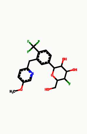 COc1ccc(Cc2cc(C3OC(CO)C(F)C(O)C3O)ccc2C(F)(F)F)nc1